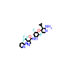 Nc1nccc(Oc2c(F)cc(NC(=O)c3cnn(-c4ccccn4)c3C(F)(F)F)cc2F)c1C1CC1